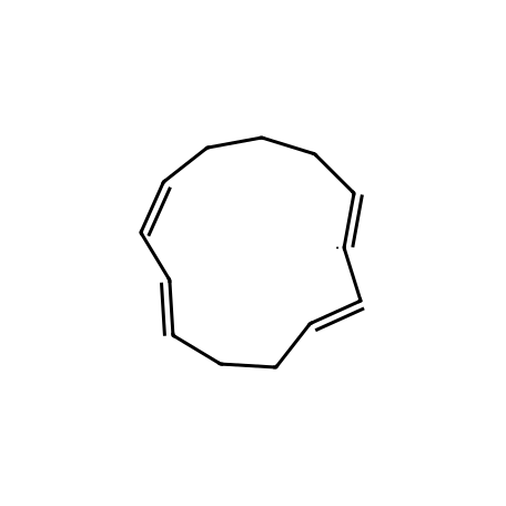 [C]1=C/CCC/C=C\C=C\CC/C=C/1